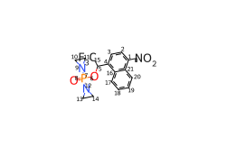 O=[N+]([O-])c1ccc(C(OP(=O)(N2CC2)N2CC2)C(F)(F)F)c2ccccc12